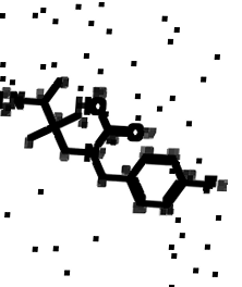 [CH2]C(N)C(C)(C)CN(Cc1ccc(F)cc1)C(=O)O